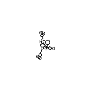 O=C(OC1CN(CCCCc2ccc3c(c2)OCCO3)CCCN(CCCCc2ccc3c(c2)OCCO3)CC1C1CCCCCCCC1O)c1ccc(Cl)cc1